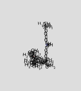 CC[C@H](C)[C@@H]([C@@H](CC(=O)N1CCC[C@H]1[C@H](OC)[C@@H](C)C(=O)N[C@H](C)[C@@H](O)c1ccccc1)OC)N(C)C(=O)[C@@H](NC(=O)[C@H](C(C)C)N(C)C(=O)OCc1ccc(NC(=O)[C@H](CCCNC(N)=O)NC(=O)[C@@H](NC(=O)CCOCCOCCOCCOC/C(=C/NCCOCCOCCOCCOCCC(=O)NCC(C)(C)C)N=N)C(C)C)cc1)C(C)C